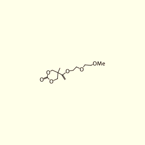 C=C(OCCOCCOC)C1(C)COC(=O)OC1